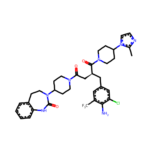 Cc1nccn1C1CCN(C(=O)[C@H](CC(=O)N2CCC(N3CCc4ccccc4NC3=O)CC2)Cc2cc(Cl)c(N)c(C(F)(F)F)c2)CC1